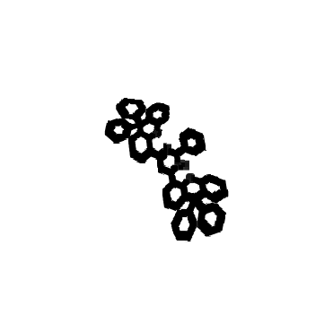 c1cccc(C2N=C(C3CCCC4C3Oc3ccccc3C4(C3=CCCC=C3)c3ccccc3)CC(C3C=CCC4C3OC3C=CC=CC3C4(C3C=CC=CC3)C3C=CC=CC3)N2)c#1